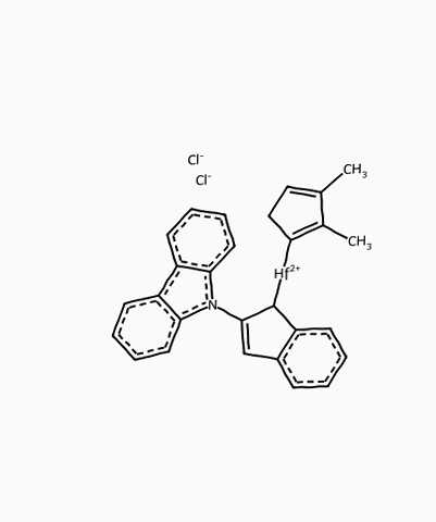 CC1=CC[C]([Hf+2][CH]2C(n3c4ccccc4c4ccccc43)=Cc3ccccc32)=C1C.[Cl-].[Cl-]